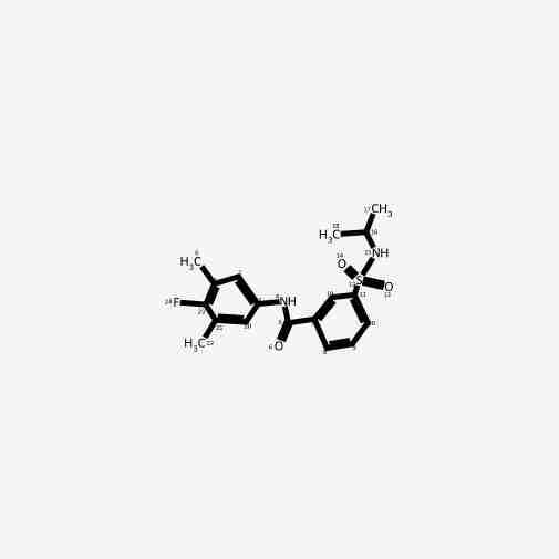 Cc1cc(NC(=O)c2cccc(S(=O)(=O)NC(C)C)c2)cc(C)c1F